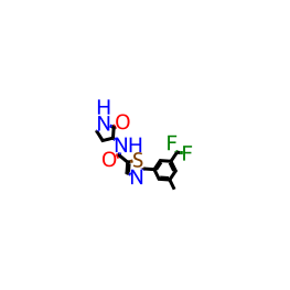 Cc1cc(-c2ncc(C(=O)NC3CCNC3=O)s2)cc(C(F)F)c1